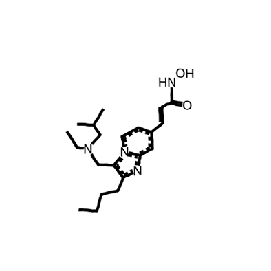 CCCCc1nc2cc(/C=C/C(=O)NO)ccn2c1CN(CC)CC(C)C